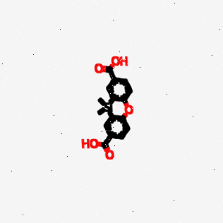 C[Si]1(C)c2cc(C(=O)O)ccc2Oc2ccc(C(=O)O)cc21